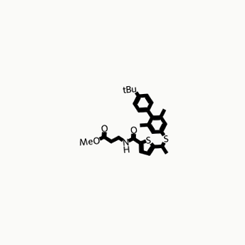 COC(=O)CCNC(=O)c1ccc(C(C)Sc2cc(C)c(-c3ccc(C(C)(C)C)cc3)c(C)c2)s1